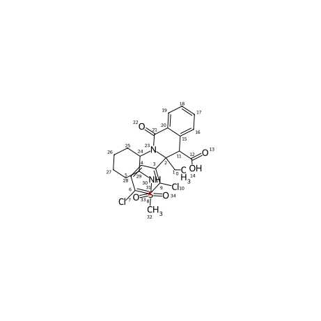 CCC1(c2ccc(Cl)cc2Cl)C(C(=O)O)c2ccccc2C(=O)N1C1CCCCC1NS(C)(=O)=O